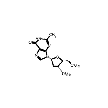 COC[C@H]1O[C@@H](n2cnc3c(=O)[nH]c(C)nc32)C[C@H]1OC